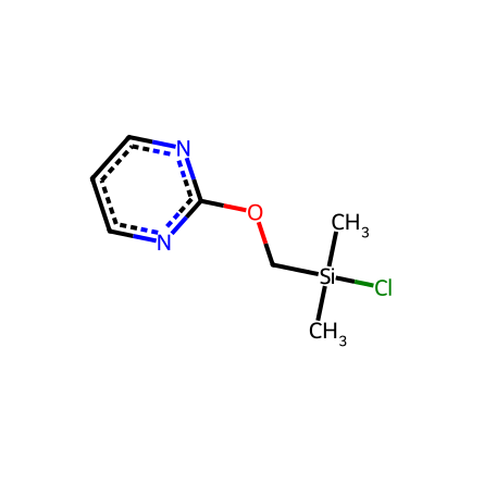 C[Si](C)(Cl)COc1ncccn1